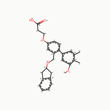 COc1cc(-c2ccc(OCCC(=O)O)cc2COC2Cc3ccccc3C2)cc(C)c1C